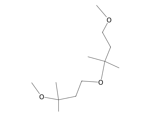 COCCC(C)(C)OCCC(C)(C)OC